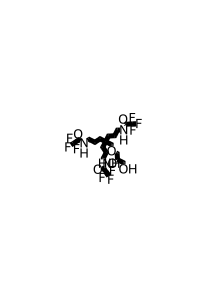 O=C(NCCCC(CCCNC(=O)C(F)(F)F)(CCCNC(=O)C(F)(F)F)COCC(O)CO)C(F)(F)F